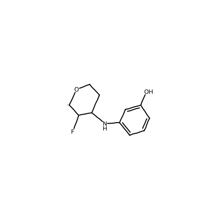 Oc1cccc(NC2CCO[CH]C2F)c1